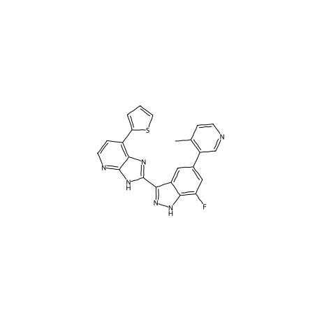 Cc1ccncc1-c1cc(F)c2[nH]nc(-c3nc4c(-c5cccs5)ccnc4[nH]3)c2c1